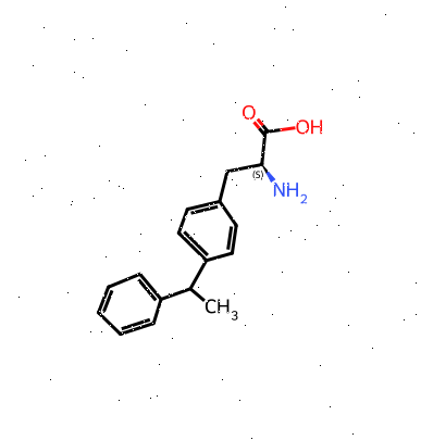 CC(c1ccccc1)c1ccc(C[C@H](N)C(=O)O)cc1